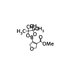 COC(=O)C1=C(B2OC(C)(C)C(C)(C)O2)COC1